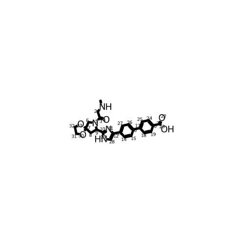 CNCC(=O)N1CC2(CC1c1nc(-c3ccc(-c4ccc(C(=O)O)cc4)cc3)c[nH]1)OCCO2